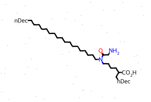 CCCCCCCCCCCCCCCCCCCCCCCCCCCCN(CCCCC(CCCCCCCCCCC)C(=O)O)C(=O)CN